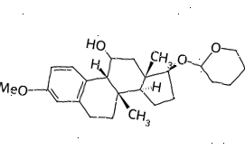 COc1ccc2c(c1)CC[C@@]1(C)[C@@H]3CC[C@H](OC4CCCCO4)[C@@]3(C)CC(O)[C@@H]21